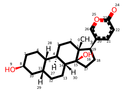 C[C@]12CC[C@@H]3[C@H]4CC[C@H](O)C[C@H]4CC[C@H]3[C@@]1(O)CC[C@@H]2c1ccc(=O)oc1